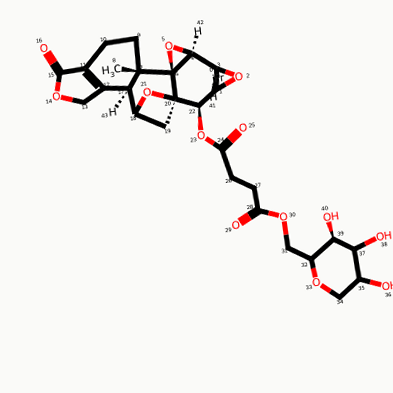 CC(C)[C@]12O[C@H]1[C@@H]1O[C@@]13[C@@]1(C)CCC4=C(COC4=O)[C@@H]1C1C[C@@]3(O1)[C@@H]2OC(=O)CCC(=O)OCC1OCC(O)C(O)[C@@H]1O